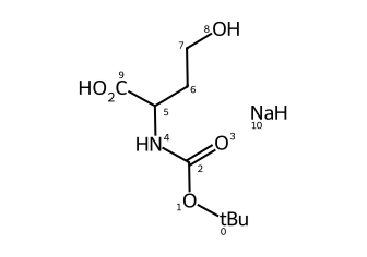 CC(C)(C)OC(=O)NC(CCO)C(=O)O.[NaH]